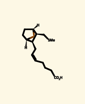 CSC[C@H]1[C@@H](C/C=C\CCCC(=O)O)[C@H]2CC[C@@H]1S2